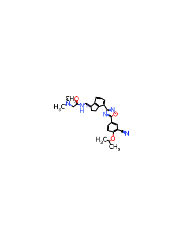 CC(C)Oc1ccc(-c2nc(-c3cccc4c3CC/C4=C\NC(=O)CN(C)C)no2)cc1C#N